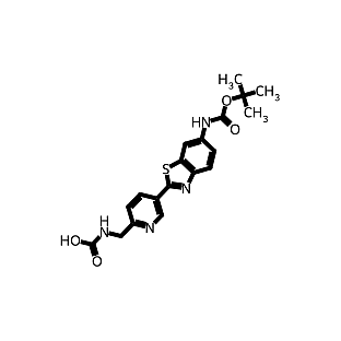 CC(C)(C)OC(=O)Nc1ccc2nc(-c3ccc(CNC(=O)O)nc3)sc2c1